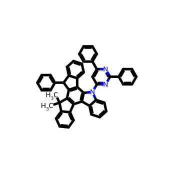 CC1(C)c2ccccc2-c2c1c1c(c3c2c2ccccc2n3-c2cc(-c3ccccc3)nc(-c3ccccc3)n2)-c2ccccc2C1c1ccccc1